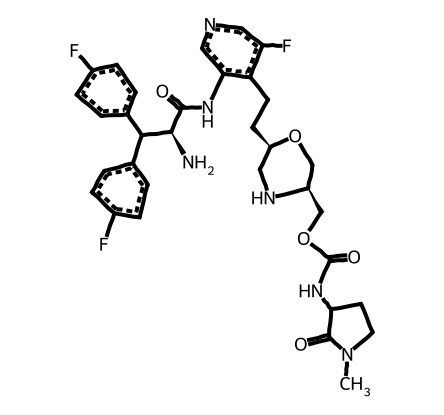 CN1CCC(NC(=O)OC[C@@H]2CO[C@H](CCc3c(F)cncc3NC(=O)[C@@H](N)C(c3ccc(F)cc3)c3ccc(F)cc3)CN2)C1=O